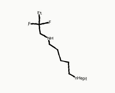 CCCCCCCCCCCCNCC(F)(F)CC